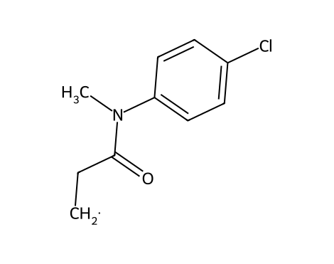 [CH2]CC(=O)N(C)c1ccc(Cl)cc1